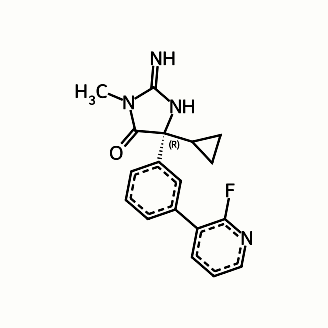 CN1C(=N)N[C@@](c2cccc(-c3cccnc3F)c2)(C2CC2)C1=O